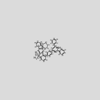 CC1(C)c2cc3c(cc2-c2c(-c4ccc(C5=NC(c6ccccc6)NC(c6ccccc6)=C5)cc4)cccc21)C1(CCCCC1)C1=CC=CCC13